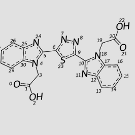 O=C(O)Cn1c(-c2nnc(-c3nc4ccccc4n3CC(=O)O)s2)nc2ccccc21